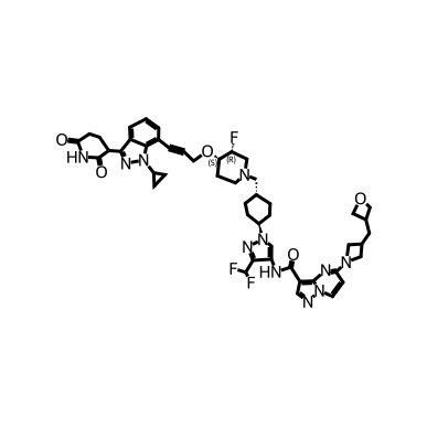 O=C1CCC(c2nn(C3CC3)c3c(C#CCO[C@H]4CCN(C[C@H]5CC[C@H](n6cc(NC(=O)c7cnn8ccc(N9CC(CC%10COC%10)C9)nc78)c(C(F)F)n6)CC5)C[C@H]4F)cccc23)C(=O)N1